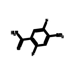 NC(=O)c1cc(F)c([N+](=O)[O-])cc1F